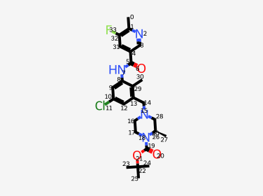 Cc1ncc(C(=O)Nc2cc(Cl)cc(CN3CCN(C(=O)OC(C)(C)C)[C@H](C)C3)c2C)cc1F